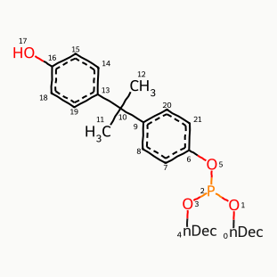 CCCCCCCCCCOP(OCCCCCCCCCC)Oc1ccc(C(C)(C)c2ccc(O)cc2)cc1